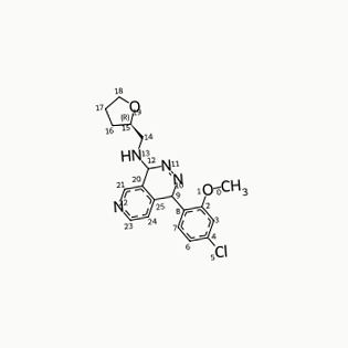 COc1cc(Cl)ccc1C1N=NC(NC[C@H]2CCCO2)c2cnccc21